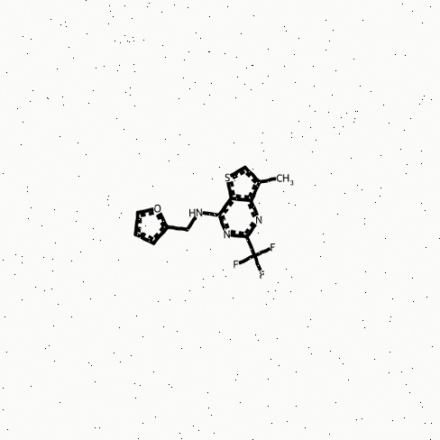 Cc1csc2c(NCc3ccco3)nc(C(F)(F)F)nc12